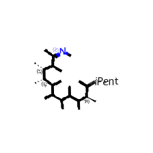 CCCC(C)C(C)[C@@H](C)C(C)C(C)C(C)C(C)C(C)[C@H](C)[C@H](C)C(C)/C(C)=N\C